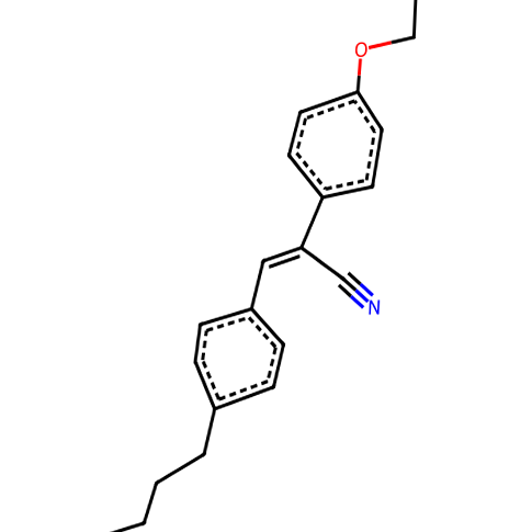 CCCCc1ccc(C=C(C#N)c2ccc(OCC)cc2)cc1